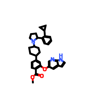 COC(=O)c1ccc(C2CCC(N3CCCC3c3ccccc3C3CC3)CC2)cc1Oc1cnc2[nH]ccc2c1